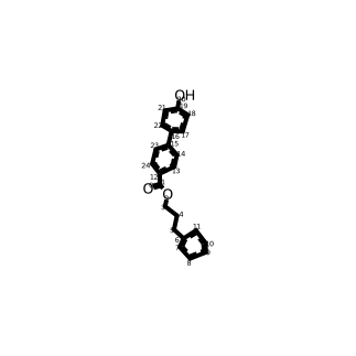 O=C(OCCCc1ccccc1)c1ccc(-c2ccc(O)cc2)cc1